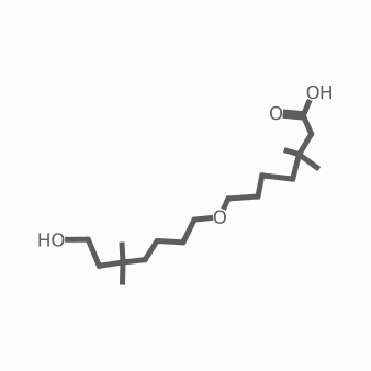 CC(C)(CCO)CCCCOCCCCC(C)(C)CC(=O)O